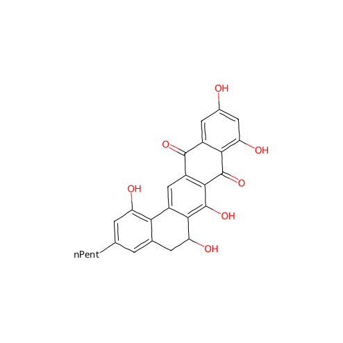 CCCCCc1cc(O)c2c(c1)CC(O)c1c-2cc2c(c1O)C(=O)c1c(O)cc(O)cc1C2=O